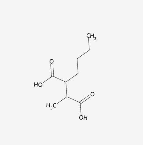 CCCCC([C](C)C(=O)O)C(=O)O